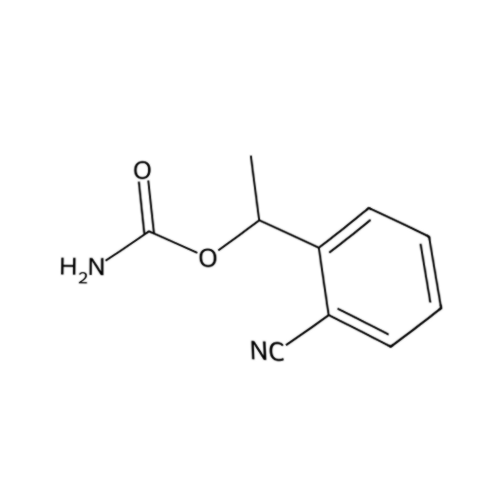 CC(OC(N)=O)c1ccccc1C#N